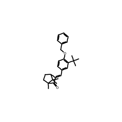 CC(C)(C)c1cc(C=C2C(=O)C3(C)CCC2C3(C)C)ccc1OCc1ccccc1